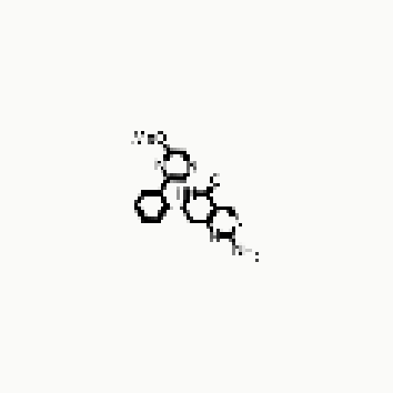 COc1cncc(-c2ccccc2[C@H]2Cc3nc(N)ncc3C(=O)N2)n1